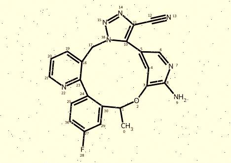 CC1Oc2cc(cnc2N)-c2c(C#N)nnn2Cc2cccnc2-c2ccc(F)cc21